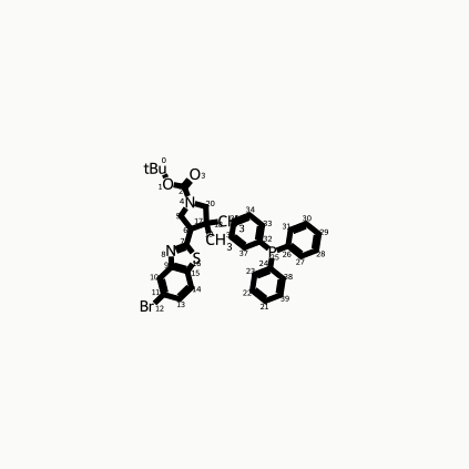 CC(C)(C)OC(=O)N1CC(c2nc3cc(Br)ccc3s2)C(C)(C)C1.c1ccc(P(c2ccccc2)c2ccccc2)cc1